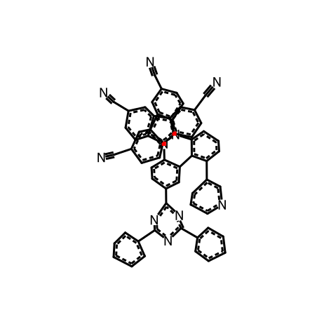 N#Cc1ccc2c(c1)c1cc(C#N)ccc1n2-c1ccc(-c2nc(-c3ccccc3)nc(-c3ccccc3)n2)cc1-c1c(-c2cccnc2)cccc1-n1c2ccc(C#N)cc2c2cc(C#N)ccc21